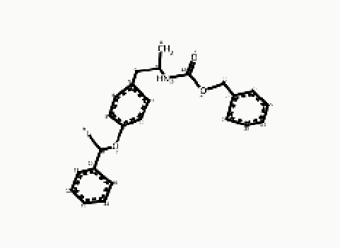 CC(Cc1ccc(OC(I)c2ccccc2)cc1)NC(=O)OCc1ccccc1